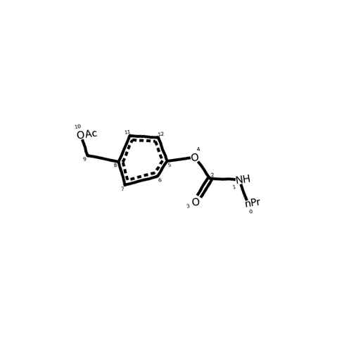 CCCNC(=O)Oc1ccc(COC(C)=O)cc1